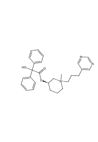 C[N+]1(CCCc2cncnc2)CCC[C@@H](OC(=O)C(O)(c2ccccc2)c2ccccc2)C1